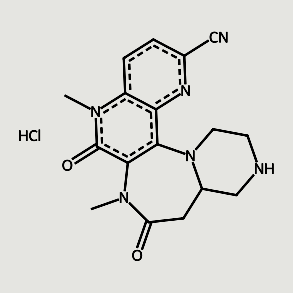 CN1C(=O)CC2CNCCN2c2c1c(=O)n(C)c1ccc(C#N)nc21.Cl